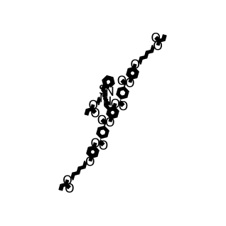 C=CC(=O)OCCCCCCOc1ccc(OC(=O)[C@H]2CC[C@H](C(=O)Oc3ccc(OC(=O)[C@H]4CC[C@H](C(=O)Oc5ccc(OCCCCCCOC(=O)C=C)cc5)CC4)c(/C=N/N(CCOC(=O)C=C)c4nc5ccccc5s4)c3)CC2)cc1